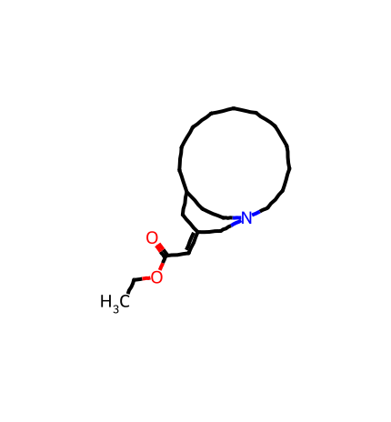 CCOC(=O)C=C1CC2CCCCCCCCCCCN(CC2)C1